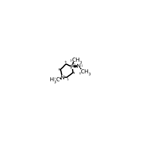 CN=P1(C)CCN(C)CC1